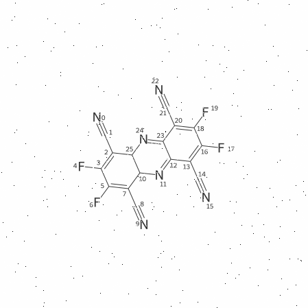 N#CC1=C(F)C(F)=C(C#N)C2N=c3c(C#N)c(F)c(F)c(C#N)c3=NC12